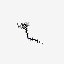 CCCCCCCC/C=C\CCCCCCCC(=O)NC(C)N(C)C